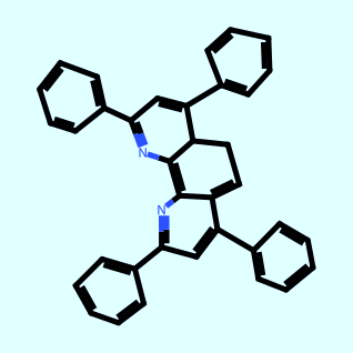 C1=C(c2ccccc2)C2CC=c3c(-c4ccccc4)cc(-c4ccccc4)nc3=C2N=C1c1ccccc1